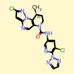 C[C@H]1CCN(C(=O)Nc2cnc(-n3nccn3)c(Cl)c2)c2cnc3cc(Cl)nn3c21